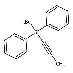 CC#C[Si](c1ccccc1)(c1ccccc1)C(C)(C)C